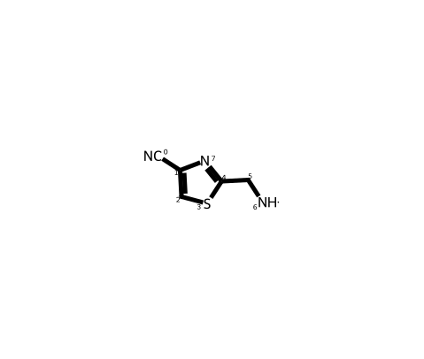 N#Cc1csc(C[NH])n1